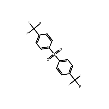 O=S(=O)(c1ccc(C(F)(F)F)cc1)c1ccc(C(F)(F)F)cc1